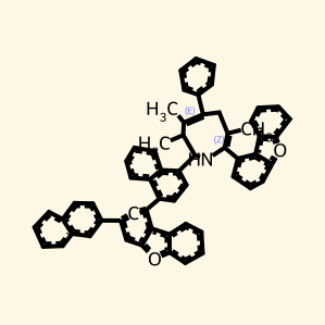 C/C1=C(\c2cccc3oc4ccccc4c23)NC(c2ccc(-c3cc(-c4ccc5ccccc5c4)cc4oc5ccccc5c34)c3ccccc23)C(C)/C(C)=C(/c2ccccc2)C1